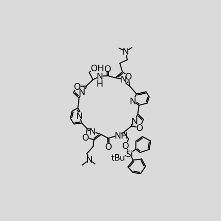 CN(C)CCc1oc2nc1C(=O)NC(CO[Si](c1ccccc1)(c1ccccc1)C(C)(C)C)c1nc(co1)-c1cccc(n1)-c1nc(c(CCN(C)C)o1)C(=O)NC(CO)c1nc(co1)-c1cccc-2n1